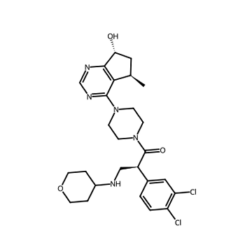 C[C@@H]1C[C@@H](O)c2ncnc(N3CCN(C(=O)[C@H](CNC4CCOCC4)c4ccc(Cl)c(Cl)c4)CC3)c21